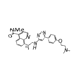 CNC(=O)c1ccnc2c([C@H](C)CNc3cc(-c4ccc(OCCN(C)C)cc4)ncn3)cccc12